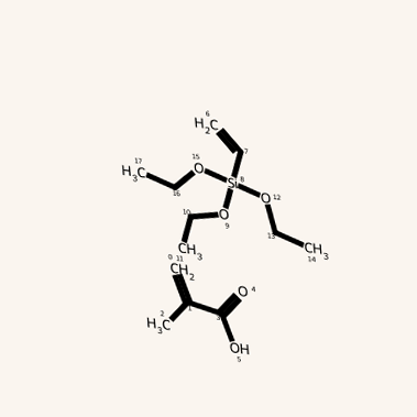 C=C(C)C(=O)O.C=C[Si](OCC)(OCC)OCC